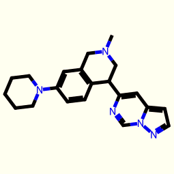 CN1Cc2cc(N3CCCCC3)ccc2C(c2cc3ccnn3cn2)C1